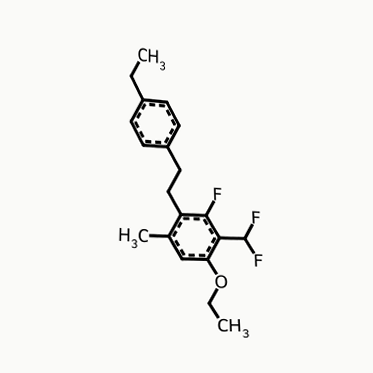 CCOc1cc(C)c(CCc2ccc(CC)cc2)c(F)c1C(F)F